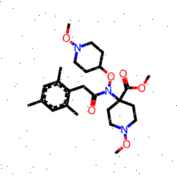 COC(=O)C1(N(OC2CCN(OC)CC2)C(=O)Cc2c(C)cc(C)cc2C)CCN(OC)CC1